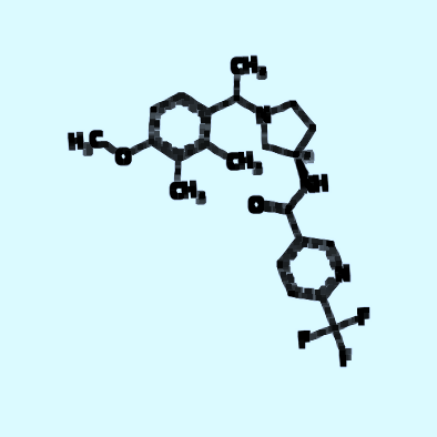 COc1ccc(C(C)N2CC[C@@H](NC(=O)c3ccc(C(F)(F)F)nc3)C2)c(C)c1C